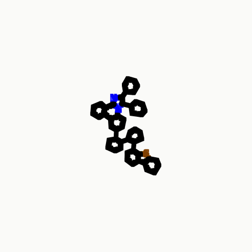 c1ccc(-c2nc3c4ccccc4c4cc(-c5ccccc5-c5ccccc5-c5cccc6c5sc5ccccc56)ccc4n3c2-c2ccccc2)cc1